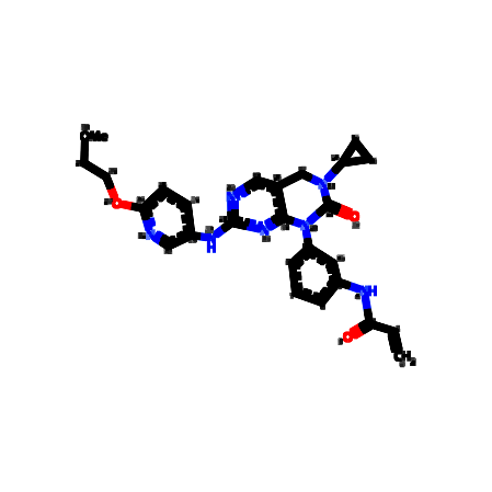 C=CC(=O)Nc1cccc(N2C(=O)N(C3CC3)Cc3cnc(Nc4ccc(OCCOC)nc4)nc32)c1